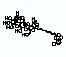 CC(=O)NC1C(OCCCCCCCCC(=O)ON2C(=O)CCC2=O)OC(CO)C(OC2OC(CO)C(O)C(OC3OC(CO)C(O)C(O)C3O)C2O)C1O